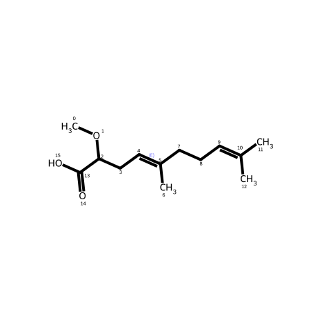 COC(C/C=C(\C)CCC=C(C)C)C(=O)O